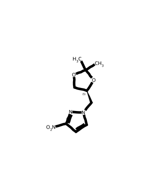 CC1(C)OC[C@H](Cn2ccc([N+](=O)[O-])n2)O1